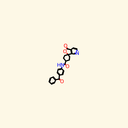 O=C(c1ccccc1)c1ccc(NC(=O)C2CCC3(CC2)OC(=O)c2ccncc23)cc1